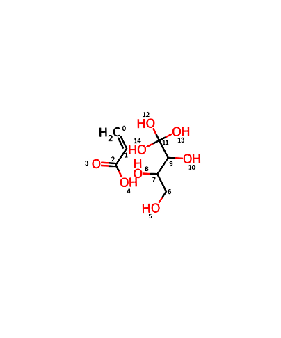 C=CC(=O)O.OCC(O)C(O)C(O)(O)O